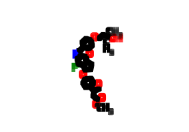 COC(=O)CC1COc2cc(O[C@@H]3CCc4c(Oc5cc(OCCC(C)(C)O)ccc5C#N)ccc(F)c43)ccc21